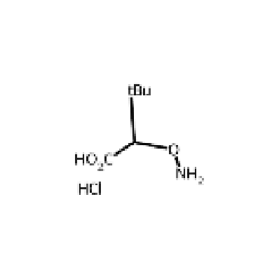 CC(C)(C)C(ON)C(=O)O.Cl